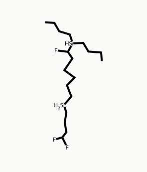 CCCC[SiH](CCCC)C(F)CCCCC[SiH2]CCCC(F)F